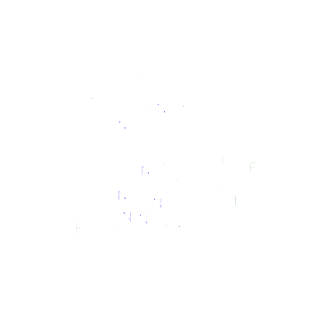 CCC(c1ccc(C(F)(F)F)cc1CN(Cc1cc(C(F)(F)F)cc(C(F)(F)F)c1)c1nnn(C)n1)N(C)CCN1CCOCC1